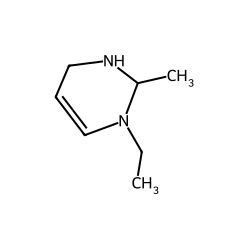 CCN1C=CCNC1C